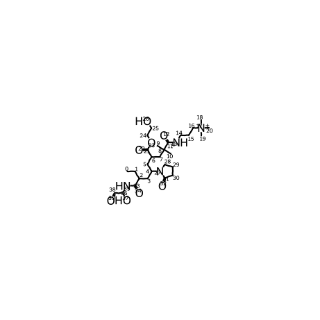 CCC(CC(CC(CC(C)(C)C(=O)NCCC[N+](C)(C)C)C(=O)OCCO)N1CCCC1=O)C(=O)NC(O)C=O